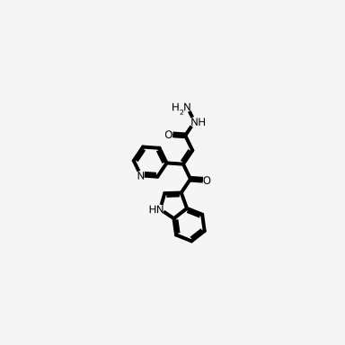 NNC(=O)C=C(C(=O)c1c[nH]c2ccccc12)c1cccnc1